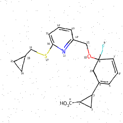 O=C(O)C1CC1C1=CC=CC(F)(OCc2cccc(SCC3CC3)n2)C1